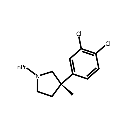 CCCN1CC[C@@](C)(c2ccc(Cl)c(Cl)c2)C1